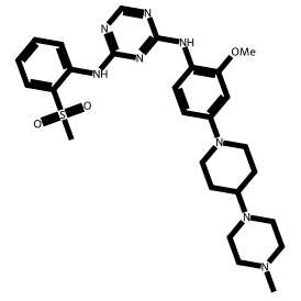 COc1cc(N2CCC(N3CCN(C)CC3)CC2)ccc1Nc1ncnc(Nc2ccccc2S(C)(=O)=O)n1